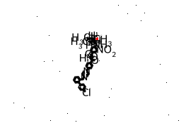 C[C@@H]1[C@@H](Nc2ccc(S(=O)(=O)NC(=O)c3ccc(N4CCN(Cc5ccccc5-c5ccc(Cl)cc5)CC4)cc3)cc2[N+](=O)[O-])C[C@H]2C[C@@H]1C2(C)C